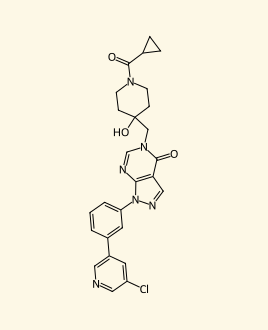 O=C(C1CC1)N1CCC(O)(Cn2cnc3c(cnn3-c3cccc(-c4cncc(Cl)c4)c3)c2=O)CC1